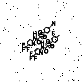 CC(C)(C(=O)Nc1ccc(C(F)(F)F)cn1)S(=O)(=O)c1ccc(C#N)cc1.Cc1ccc(S(=O)(=O)C(C)(C)C(=O)Nc2ccc(C(F)(F)F)cn2)cc1F